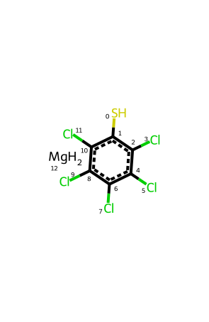 Sc1c(Cl)c(Cl)c(Cl)c(Cl)c1Cl.[MgH2]